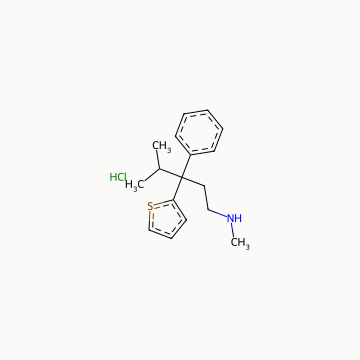 CNCCC(c1ccccc1)(c1cccs1)C(C)C.Cl